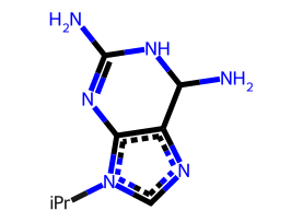 CC(C)n1cnc2c1N=C(N)NC2N